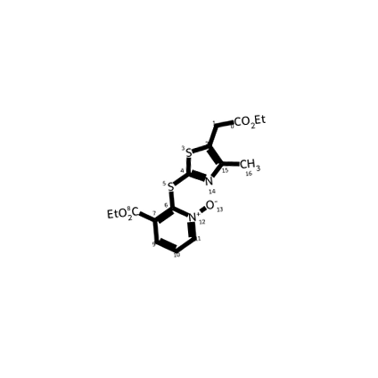 CCOC(=O)Cc1sc(Sc2c(C(=O)OCC)ccc[n+]2[O-])nc1C